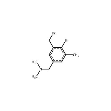 Cc1cc(CN(C)C)cc(CBr)c1Br